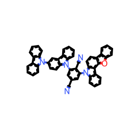 N#Cc1cc(-n2c3ccccc3c3cc(-n4c5ccccc5c5ccccc54)ccc32)c(C#N)c(-n2c3ccccc3c3c4oc5ccccc5c4ccc32)c1